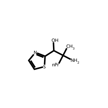 CCCC(C)(N)C(O)c1nccs1